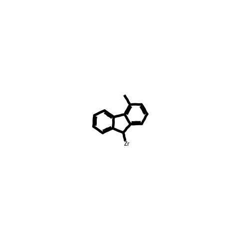 Cc1cccc2c1-c1ccccc1[CH]2[Zr]